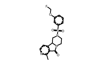 Cc1nccc2c1C(=O)N1CCN(S(=O)(=O)c3cccc(OCF)c3)CC21